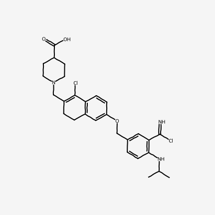 CC(C)Nc1ccc(COc2ccc3c(c2)CCC(CN2CCC(C(=O)O)CC2)=C3Cl)cc1C(=N)Cl